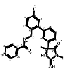 CN1C(=N)NC(C)(c2cccc(-c3cc(Cl)ccc3CNC(=O)c3ccncc3)c2)C1=O